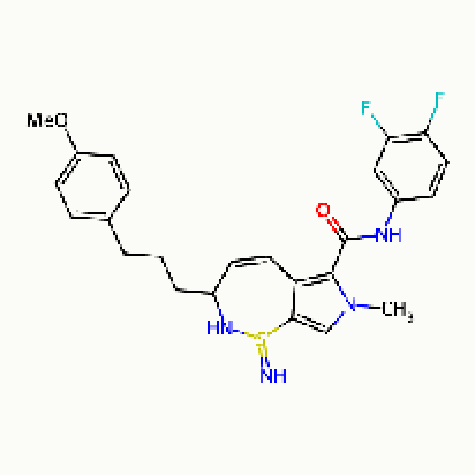 COc1ccc(CCCC2C=Cc3c(cn(C)c3C(=O)Nc3ccc(F)c(F)c3)S(=N)N2)cc1